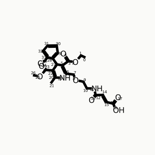 CCOC(=O)C1=C(COCCNC(=O)C=CC(=O)O)NC(C)=C(C(=O)OC)C1c1ccccc1Cl